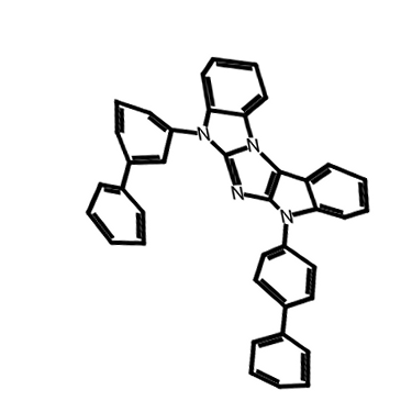 c1ccc(-c2ccc(-n3c4ccccc4c4c3nc3n(-c5cccc(-c6ccccc6)c5)c5ccccc5n43)cc2)cc1